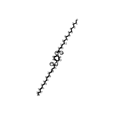 CCCCCCCCCCCCCCCC(=O)Oc1ccc(OC(=O)CCCCCCCCCCCCCCC)cc1